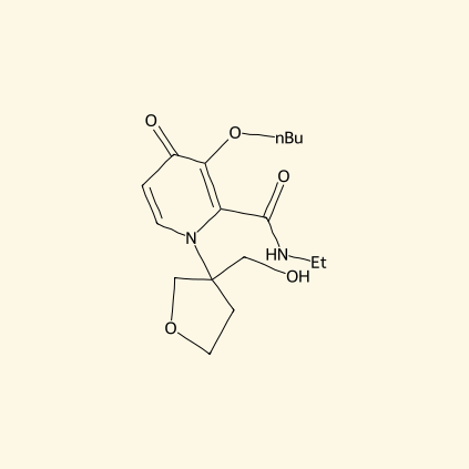 CCCCOc1c(C(=O)NCC)n(C2(CO)CCOC2)ccc1=O